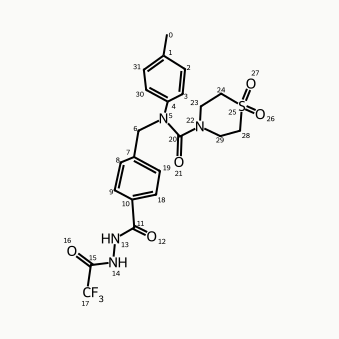 Cc1ccc(N(Cc2ccc(C(=O)NNC(=O)C(F)(F)F)cc2)C(=O)N2CCS(=O)(=O)CC2)cc1